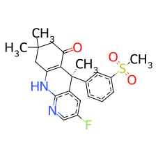 CC1(C)CC(=O)C2=C(C1)Nc1ncc(F)cc1[C@]2(C)c1cccc(S(C)(=O)=O)c1